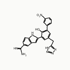 N=C(N)c1ccc2[nH]c(-c3cc(Cc4nnn[nH]4)cc(-c4cccc([N+](=O)[O-])c4)c3O)cc2c1